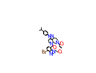 C=CC(=O)N1CCc2nn(-c3ccc(C(C)C)cc3)c3c2C(C1)N(C(=O)c1ccc(Br)c2ncn(CCOC)c12)CC3